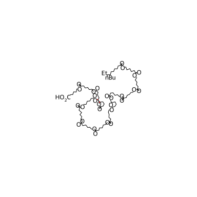 CCCCC(CC)CCCCCCC(=O)OCCCCCC(=O)OCCCCCC(=O)OCCCCCC(=O)OCCCCCC(=O)OCCCCCC(=O)OCCCCCC(=O)OCCCCCC(=O)OCCCCCC(=O)OCCCCCC(=O)OCCCCCC(=O)OCCCCCC(=O)OCCCCCC(=O)OCCCCCC(=O)OCCCCCC(=O)O